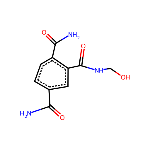 NC(=O)c1ccc(C(N)=O)c(C(=O)NCO)c1